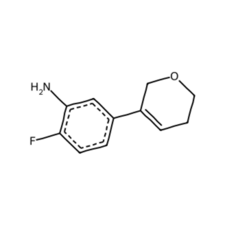 Nc1cc(C2=CCCOC2)ccc1F